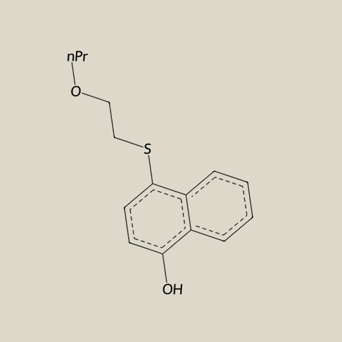 CCCOCCSc1ccc(O)c2ccccc12